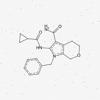 NC(=O)c1c2c(n(Cc3ccccc3)c1NC(=O)C1CC1)COCC2